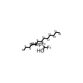 CCCCCCCC(O)F.CCCCCCCCCCCCC